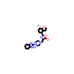 O=C1OC(c2ccc(F)c3occc23)=NC1=CN1CCN(c2nc3ccccc3[nH]2)CC1